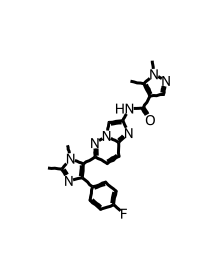 Cc1c(C(=O)Nc2cn3nc(-c4c(-c5ccc(F)cc5)nc(C)n4C)ccc3n2)cnn1C